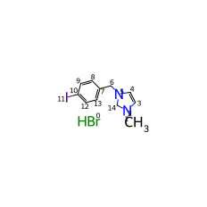 Br.CN1C=CN(Cc2ccc(I)cc2)C1